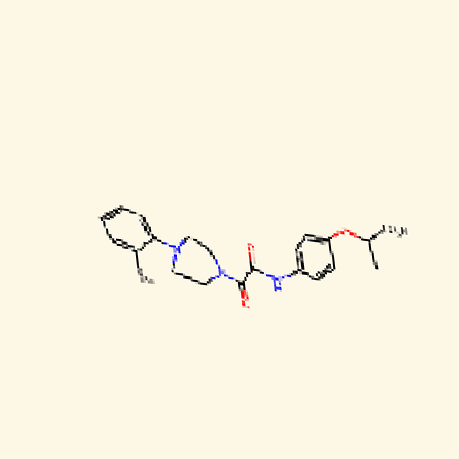 CC(Oc1ccc(NC(=O)C(=O)N2CCN(c3ccccc3C(C)(C)C)CC2)cc1)C(=O)O